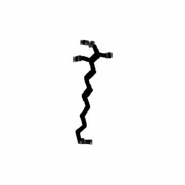 CCCCCCCCCCCCCC=CC=CC(O)=C(O)C(=O)O